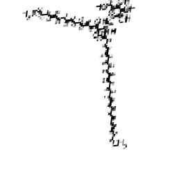 CCCCCCCCCCCCCCCCCCCCCCCCCC(=O)N[C@@H](CO[C@H]1OC(CO)[C@H](O)C(O)C1O)[C@H](O)[C@H](O)CCCCCCCCCCCCCCC